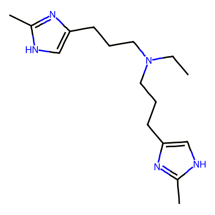 CCN(CCCc1c[nH]c(C)n1)CCCc1c[nH]c(C)n1